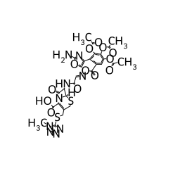 CC(=O)Oc1cc(C(=O)ON=CC(=O)N[C@@H]2C(=O)N3C(C(=O)O)=C(CSc4nnnn4C)CS[C@@H]23)c(-c2coc(N)n2)c(OC(C)=O)c1OC(C)=O